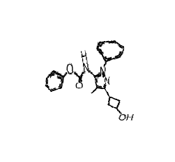 Cc1c(C2CC(O)C2)nn(-c2ccccc2)c1NC(=O)Oc1ccccc1